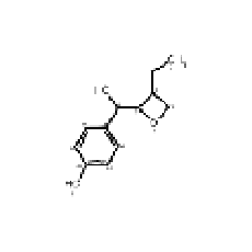 CCC1COC1C(O)c1ccc(O)cc1